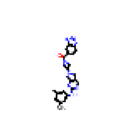 Cc1cc(Nc2ncc3c(n2)CN(C2CN(C(=O)c4ccc5nn[nH]c5c4)C2)C3)cc(C(F)(F)F)c1